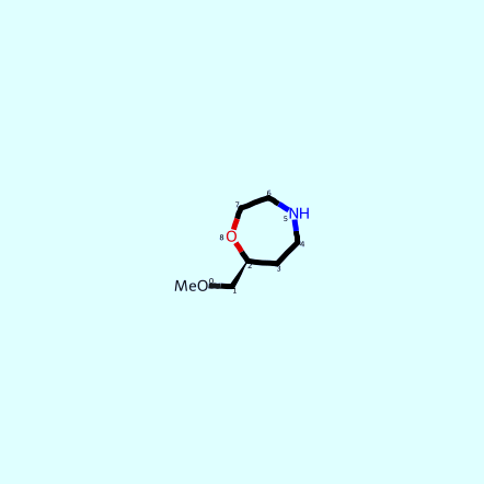 COC[C@@H]1CCNCCO1